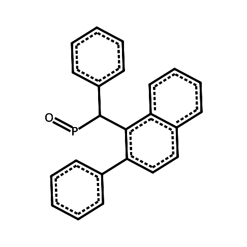 O=PC(c1ccccc1)c1c(-c2ccccc2)ccc2ccccc12